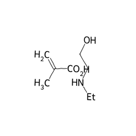 C=C(C)C(=O)O.CCNCCO